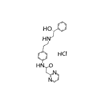 Cl.O=C(Cc1ncccn1)Nc1ccc(CCNC[C@H](O)c2ccccc2)cc1